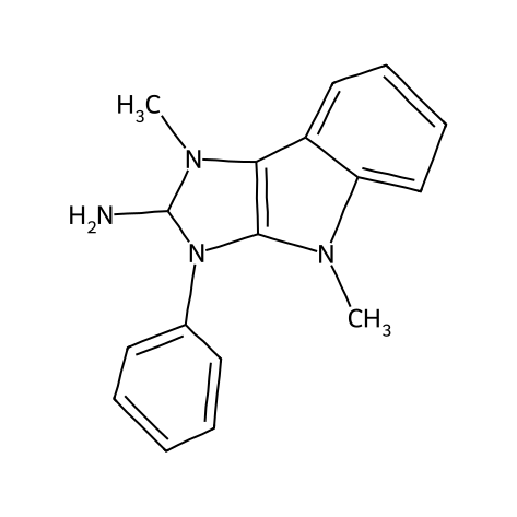 CN1c2c(n(C)c3ccccc23)N(c2ccccc2)C1N